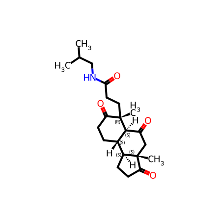 CC(C)CNC(=O)CC[C@@]1(C)C(=O)CC[C@@H]2[C@@H]1C(=O)C[C@]1(C)C(=O)CC[C@@H]21